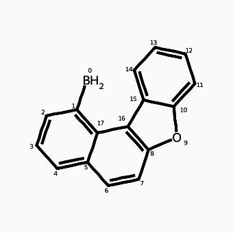 Bc1cccc2ccc3oc4ccccc4c3c12